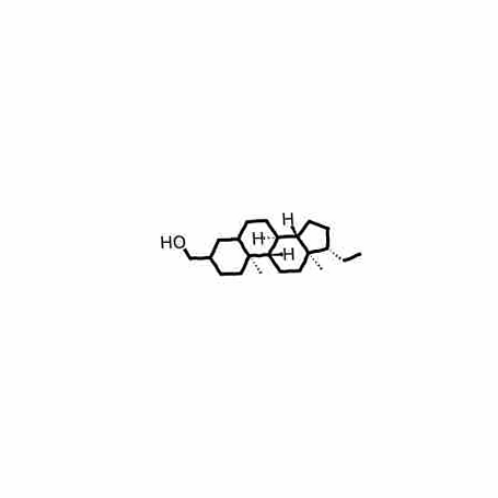 CC[C@H]1CC[C@H]2[C@@H]3CCC4CC(CO)CC[C@]4(C)[C@H]3CC[C@]12C